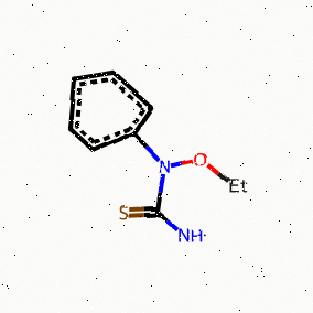 CCON(C([NH])=S)c1ccccc1